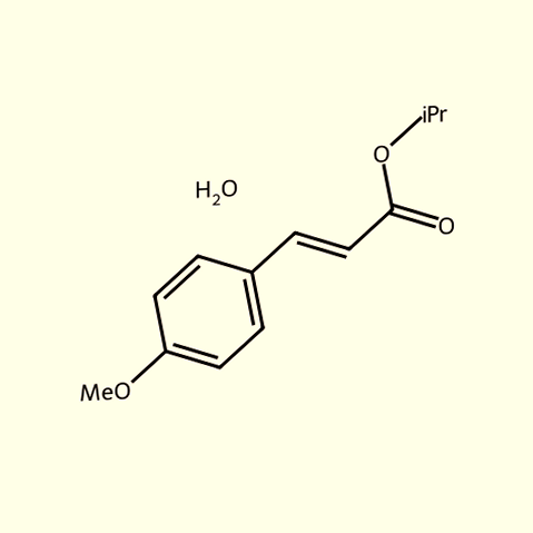 COc1ccc(C=CC(=O)OC(C)C)cc1.O